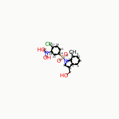 Cc1cccc2c(CO)cn(S(=O)(=O)c3ccc(Cl)c(N(O)O)c3)c12